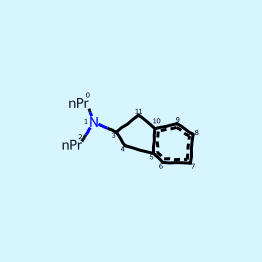 CCCN(CCC)C1Cc2ccccc2C1